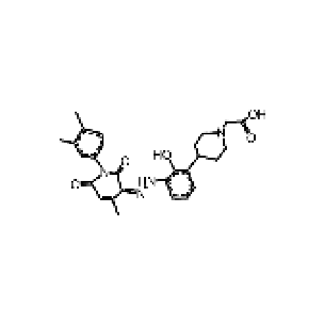 CC1=CC(=O)N(c2ccc(C)c(C)c2)C(=O)C1=NNc1cccc(C2CCN(CC(=O)O)CC2)c1O